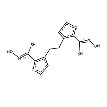 O/N=C(\S)c1occc1CCc1ccoc1/C(S)=N/O